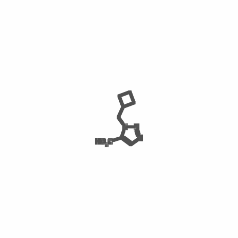 O=C(O)c1cnnn1CC1CCC1